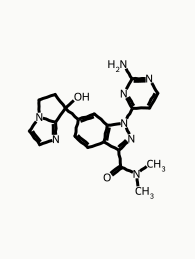 CN(C)C(=O)c1nn(-c2ccnc(N)n2)c2cc(C3(O)CCn4ccnc43)ccc12